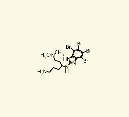 CN(C)CCC(CCCN)Nc1nc2c(Br)c(Br)c(Br)c(Br)c2[nH]1